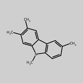 Cc1ccc2c(c1)c1cc(C)c(C)cc1n2C